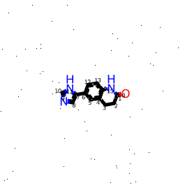 O=C1CCc2cc(-c3cnc[nH]3)ccc2N1